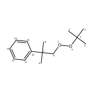 CC(C)(C)OOCC(C)(C)c1ccccc1